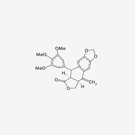 C=C1c2cc3c(cc2C(c2cc(OC)c(OC)c(OC)c2)[C@@H]2C(=O)OC[C@H]12)OCO3